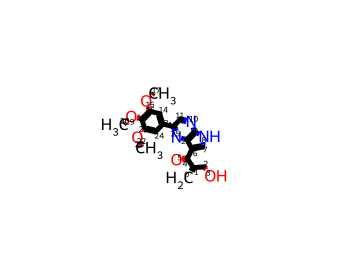 C=C(CO)C(=O)c1c[nH]c2ncc(-c3cc(OC)c(OC)c(OC)c3)nc12